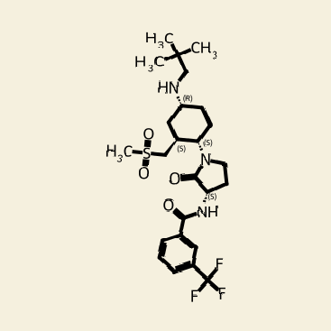 CC(C)(C)CN[C@@H]1CC[C@H](N2CC[C@H](NC(=O)c3cccc(C(F)(F)F)c3)C2=O)[C@@H](CS(C)(=O)=O)C1